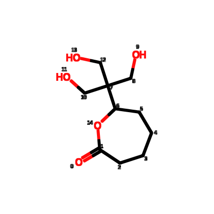 O=C1CCCCC(C(CO)(CO)CO)O1